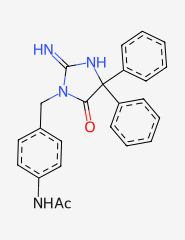 CC(=O)Nc1ccc(CN2C(=N)NC(c3ccccc3)(c3ccccc3)C2=O)cc1